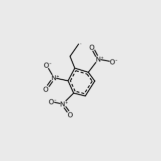 [CH2]Cc1c([N+](=O)[O-])ccc([N+](=O)[O-])c1[N+](=O)[O-]